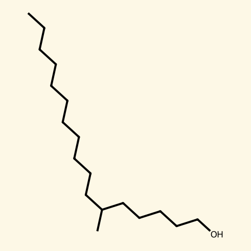 CCCCCCCCCCCC(C)CCCCCO